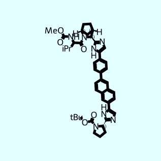 COC(=O)NC(C(=O)N1[C@@H]2CC[C@@H](C2)[C@H]1c1ncc(-c2ccc(-c3ccc4cc(-c5cnc([C@@H]6CCCN6C(=O)OC(C)(C)C)[nH]5)ccc4c3)cc2)[nH]1)C(C)C